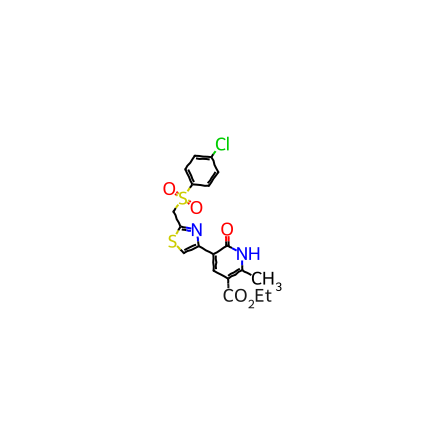 CCOC(=O)c1cc(-c2csc(CS(=O)(=O)c3ccc(Cl)cc3)n2)c(=O)[nH]c1C